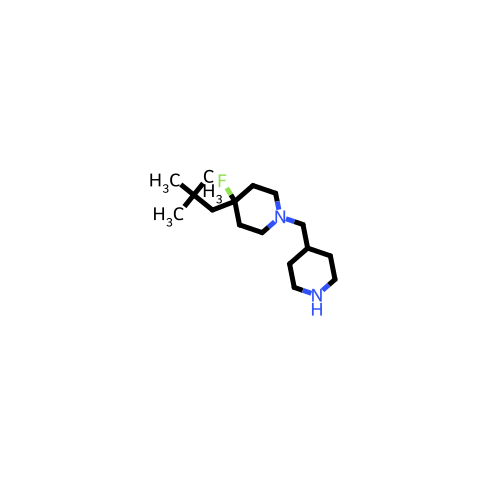 CC(C)(C)CC1(F)CCN(CC2CCNCC2)CC1